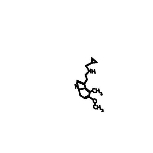 COC1=CCC2=NC=C(CCNCC3CC3)C2=C1C